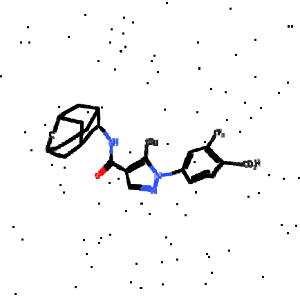 CC(C)(C)c1c(C(=O)NC2C3CC4CC(C3)CC2C4)cnn1-c1ccc(C(=O)O)c(C(F)(F)F)c1